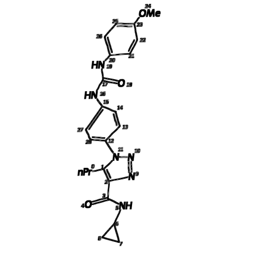 CCCc1c(C(=O)NC2CC2)nnn1-c1ccc(NC(=O)Nc2ccc(OC)cc2)cc1